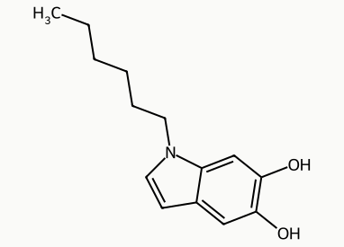 CCCCCCn1ccc2cc(O)c(O)cc21